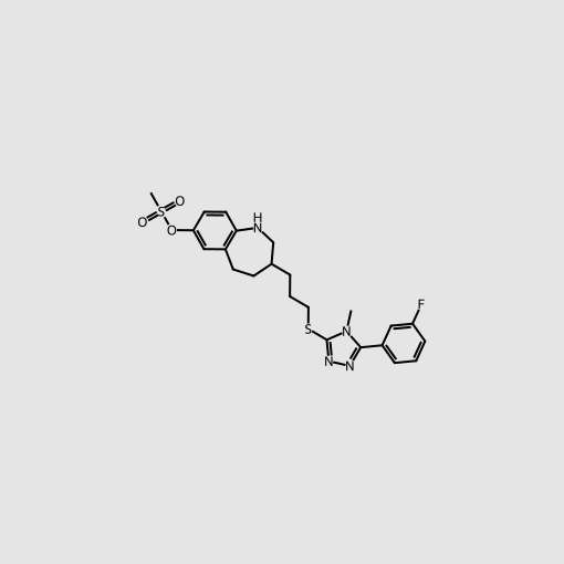 Cn1c(SCCCC2CCc3cc(OS(C)(=O)=O)ccc3NC2)nnc1-c1cccc(F)c1